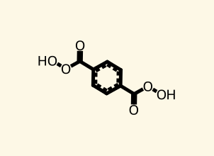 O=C(OO)c1ccc(C(=O)OO)cc1